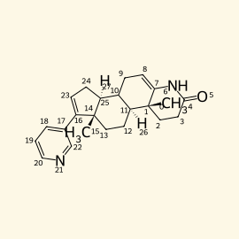 C[C@]12CCC(=O)NC1=CCC1[C@@H]2CC[C@]2(C)C(c3cccnc3)=CC[C@@H]12